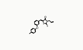 C=CCN1C(=O)C(=Cc2cccc(Oc3ccc(C)cc3)c2)SC1=S